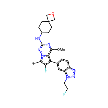 [2H]c1c(F)c(-c2ccc3nnn(CCF)c3c2)c2c(OC)nc(NC3CCC4(CC3)COC4)nn12